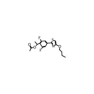 CCCCOc1csc(-c2cc(F)c(C(C)OC(C)=O)c(F)c2)n1